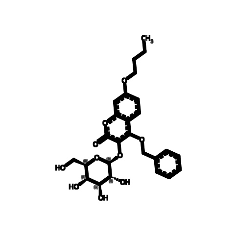 CCCCOc1ccc2c(OCc3ccccc3)c(O[C@@H]3O[C@H](CO)[C@H](O)[C@H](O)[C@H]3O)c(=O)oc2c1